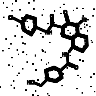 CCn1c(=O)c(C(=O)Nc2ccc(Cl)cc2)cc2c(NC(=O)c3ccc(CO)cc3)cccc21